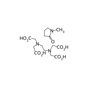 CN1CCCC1=O.O=C(O)CN(CCN(CC(=O)O)CC(=O)O)CC(=O)O